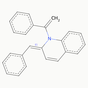 C=C(c1ccccc1)N1/C(=C/c2ccccc2)C=Cc2ccccc21